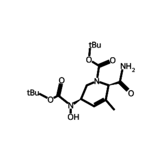 CC1=C[C@@H](N(O)C(=O)OC(C)(C)C)CN(C(=O)OC(C)(C)C)[C@H]1C(N)=O